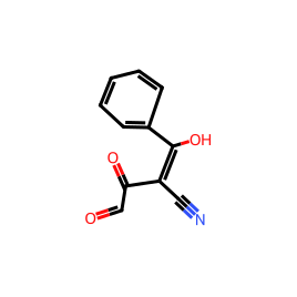 N#CC(C(=O)C=O)=C(O)c1ccccc1